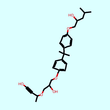 CC(C)CC(O)COc1ccc(C(C)(C)c2ccc(OCC(O)COC(C)C#CO)cc2)cc1